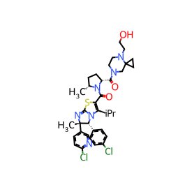 CC(C)C1=C(C(=O)N2[C@H](C)CC[C@@H]2C(=O)N2CCN(CCO)C3(CC3)C2)SC2=N[C@@](C)(c3ccc(Cl)nc3)[C@@H](c3ccc(Cl)cc3)N21